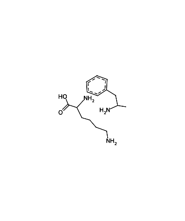 CC(N)Cc1ccccc1.NCCCCC(N)C(=O)O